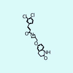 O=C1CCc2cc(OCC3CN(C(=O)/C=C/c4ccc(Cl)c(Cl)c4)C3)ccc2N1